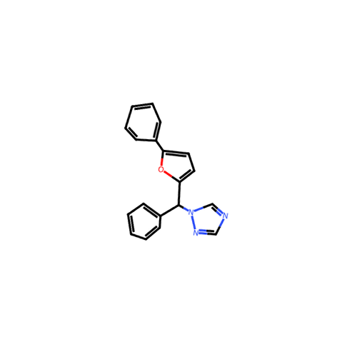 c1ccc(-c2ccc(C(c3ccccc3)n3cncn3)o2)cc1